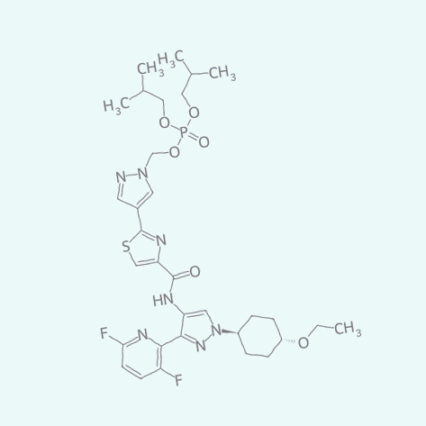 CCO[C@H]1CC[C@H](n2cc(NC(=O)c3csc(-c4cnn(COP(=O)(OCC(C)C)OCC(C)C)c4)n3)c(-c3nc(F)ccc3F)n2)CC1